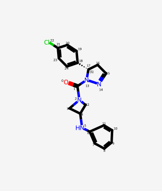 O=C(N1CC(Nc2ccccc2)C1)N1N=CC[C@H]1c1ccc(Cl)cc1